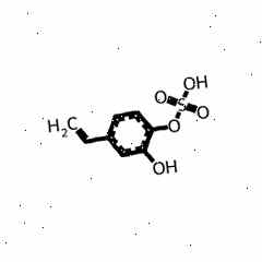 C=Cc1ccc(OS(=O)(=O)O)c(O)c1